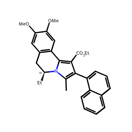 CCOC(=O)c1c(-c2cccc3ccccc23)c(C)n2c1-c1cc(OC)c(OC)cc1C[C@@H]2CC